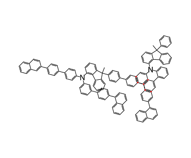 CC1(c2ccc(-c3ccc(-c4cccc(-c5ccccc5N(c5cccc(-c6ccc(-c7cccc8ccccc78)cc6)c5)c5cccc6c5-c5ccccc5C6(C)c5ccccc5)c4)cc3)cc2)c2ccccc2-c2c(N(c3ccc(-c4ccc(-c5ccc6ccccc6c5)cc4)cc3)c3cccc(-c4ccc(-c5cccc6ccccc56)cc4)c3)cccc21